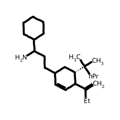 C=C(CC)C1C=CC(CCC(N)C2CCCCC2)C[C@@H]1C(C)(C)CCC